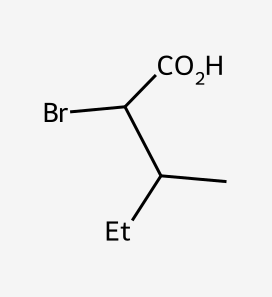 CCC(C)C(Br)C(=O)O